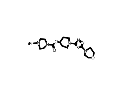 CC(C)N1CCN(C(=O)OC2CCN(c3nnc(N4CCOCC4)s3)CC2)CC1